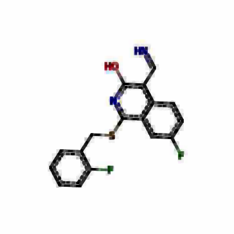 N=Cc1c(O)nc(SCc2ccccc2F)c2cc(F)ccc12